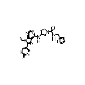 CCn1c(-c2cnc(C)nc2)nc2c(NC3CCN(C(=O)NCc4ccco4)C3)ncnc21